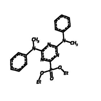 CCOP(=O)(OCC)c1nc(N(C)c2ccccc2)nc(N(C)c2ccccc2)n1